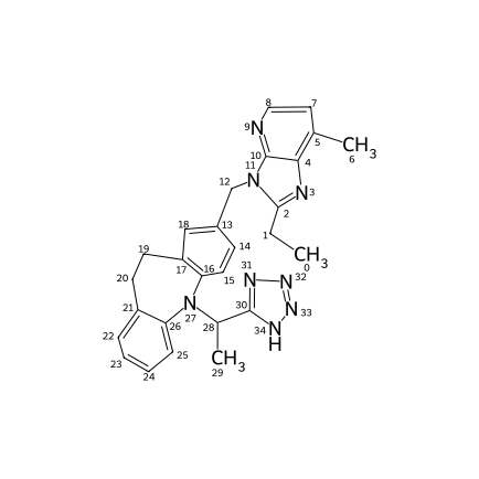 CCc1nc2c(C)ccnc2n1Cc1ccc2c(c1)CCc1ccccc1N2C(C)c1nnn[nH]1